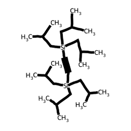 CC(C)C[Si](C#C[Si](CC(C)C)(CC(C)C)CC(C)C)(CC(C)C)CC(C)C